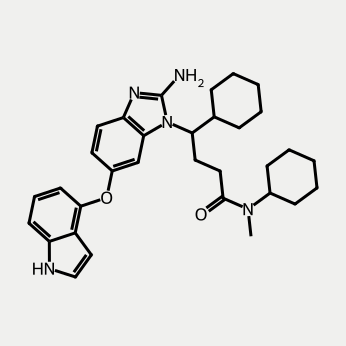 CN(C(=O)CCC(C1CCCCC1)n1c(N)nc2ccc(Oc3cccc4[nH]ccc34)cc21)C1CCCCC1